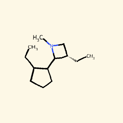 CCC1CCCC1C1[C@@H](CC)CN1C